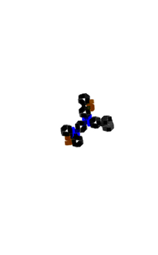 c1ccc2c(c1)Sc1ccccc1N2c1ccc(N(c2ccc(C34CC5CC(CC(C5)C3)C4)cc2)c2ccc3c(c2)sc2ccccc23)cc1